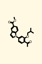 COC(=O)c1ccc2c(ccn2-c2ccc(C(C)=O)c(OCC(C)C)c2)c1